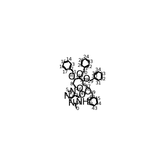 Cc1nc2ncn(C3C[C@H](OCc4ccccc4)[C@@H](OCc4ccccc4)[C@H](OCc4ccccc4)[C@@H](COCc4ccccc4)O3)c2c(=O)[nH]1